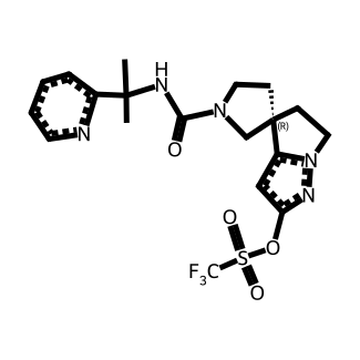 CC(C)(NC(=O)N1CC[C@@]2(CCn3nc(OS(=O)(=O)C(F)(F)F)cc32)C1)c1ccccn1